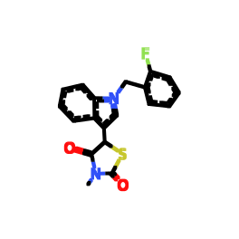 CN1C(=O)SC(c2cn(Cc3ccccc3F)c3ccccc23)C1=O